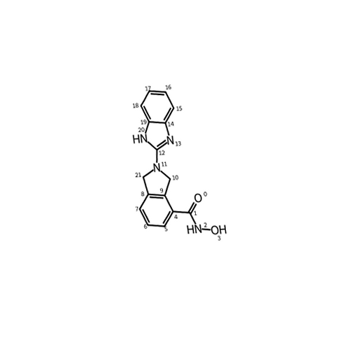 O=C(NO)c1cccc2c1CN(c1nc3ccccc3[nH]1)C2